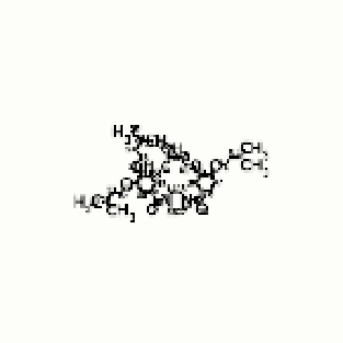 CC(C)=CCOc1ccc(C(=O)N2CCN(C(=O)c3ccc(OCC=C(C)C)c(OCC=C(C)C)c3)CC2)cc1OCC=C(C)C